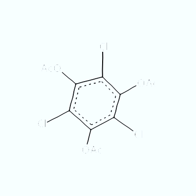 CC(=O)Oc1c(Cl)c(OC(C)=O)c(Cl)c(OC(C)=O)c1Cl